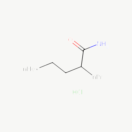 CCCCCCCCC(CCC)C(N)=O.Cl